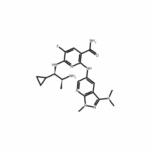 C[C@H](N)[C@H](Nc1nc(Nc2cnc3c(c2)c(N(C)C)nn3C)c(C(N)=O)cc1F)C1CC1